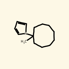 CC1(n2cccc2)CCCCCCCC1